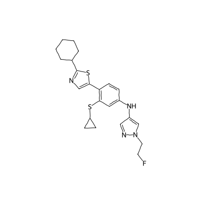 FCCn1cc(Nc2ccc(-c3cnc(C4CCCCC4)s3)c(SC3CC3)c2)cn1